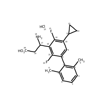 Cc1cccc(C)c1-c1cc(C2CC2)c(F)c(C(N)CC(=O)O)c1F.Cl